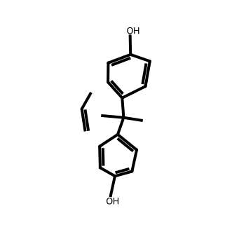 C=CC.CC(C)(c1ccc(O)cc1)c1ccc(O)cc1